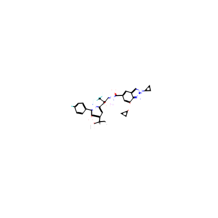 CC[C@]1(C)COc2c1cc([C@@](O)(CNC(=O)c1cc(OC3CC3)c3nn(C4CC4)cc3c1)C(F)(F)F)nc2-c1ccc(F)cc1